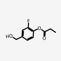 CCC(=O)Oc1ccc(CO)cc1F